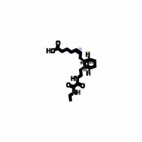 CCNC(=O)C(=O)NCC[C@H]1[C@@H](C/C=C\CCCC(=O)O)[C@H]2CC[C@@H]1O2